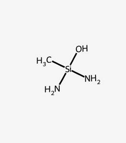 C[Si](N)(N)O